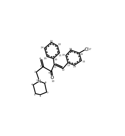 C=C(CN1CCCCC1)C(=O)/C(=C/c1ccc(Cl)cc1)c1ccccc1